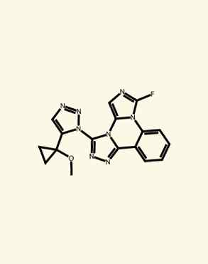 COC1(c2cnnn2-c2nnc3c4ccccc4n4c(F)ncc4n23)CC1